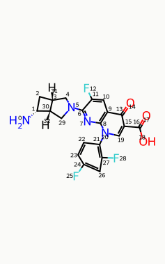 N[C@@H]1C[C@@H]2CN(c3nc4c(cc3F)c(=O)c(C(=O)O)cn4-c3ccc(F)cc3F)C[C@@H]21